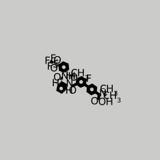 COc1cc(F)c(-c2ccc(C(C(=O)O)N(C)C)cc2)cc1C(=O)N[C@@H]1[C@H]2CC[C@H](C2)[C@@H]1C(=O)Nc1cccc(S(=O)(=O)C(F)(F)F)c1